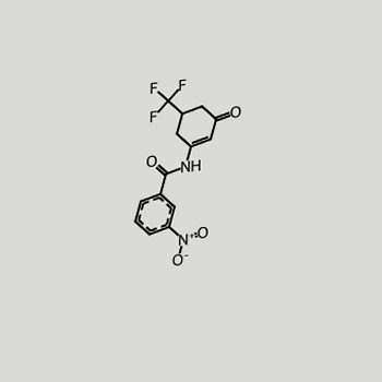 O=C1C=C(NC(=O)c2cccc([N+](=O)[O-])c2)CC(C(F)(F)F)C1